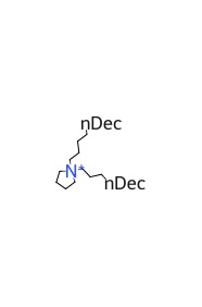 CCCCCCCCCCCCCC[N+]1(CCCCCCCCCCCCC)CCCC1